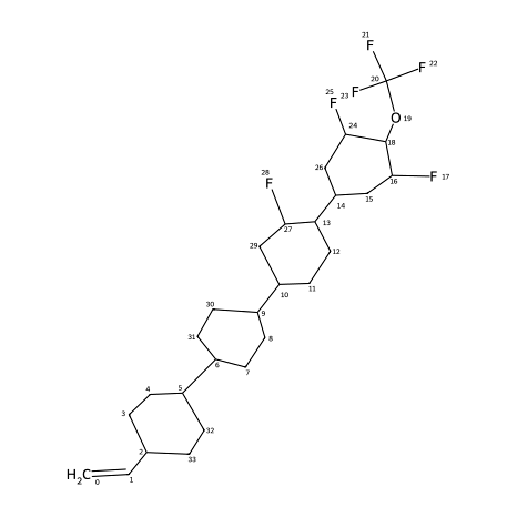 C=CC1CCC(C2CCC(C3CCC(C4CC(F)C(OC(F)(F)F)C(F)C4)C(F)C3)CC2)CC1